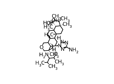 CC(C)C(N)C(C)O[C@H]1[C@H](n2nnc(N)n2)C[C@@]23COC[C@@]1(C)[C@@H]2CC[C@H]1C3=CC[C@@]2(C)[C@H](C(=O)O)[C@@](C)([C@H](C)C(C)C)CC[C@]12C